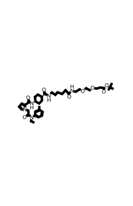 CCN(C(=O)Cn1cccc1C(=O)N[C@H]1CC[C@H](C(=O)NCCCCCC(=O)NCCOCCOCCC(=O)OC(C)(C)C)CC1)c1cccc(C)c1